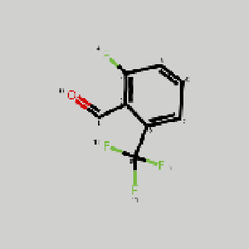 O=Cc1c(F)cccc1C(F)(F)F